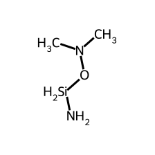 CN(C)O[SiH2]N